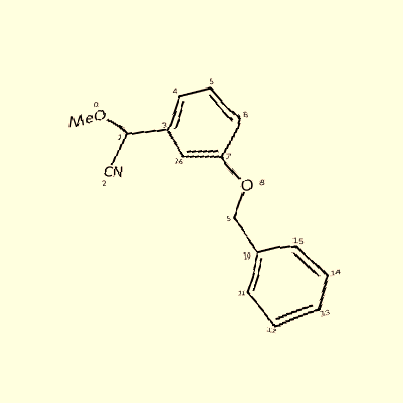 COC(C#N)c1cccc(OCc2ccccc2)c1